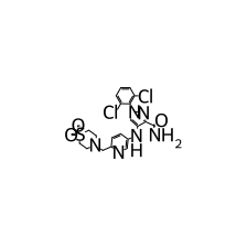 NC(=O)c1nn(-c2c(Cl)cccc2Cl)cc1Nc1ccc(CN2CCS(=O)(=O)CC2)nc1